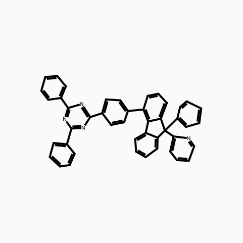 c1ccc(-c2nc(-c3ccccc3)nc(-c3ccc(-c4cccc5c4-c4ccccc4C5(c4ccccc4)c4ccccn4)cc3)n2)cc1